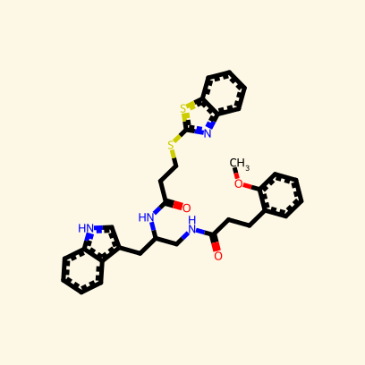 COc1ccccc1CCC(=O)NCC(Cc1c[nH]c2ccccc12)NC(=O)CCSc1nc2ccccc2s1